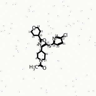 CC(=O)N1CCC(c2nc(C3CCOCC3)oc2Sc2ccc(Cl)cn2)CC1